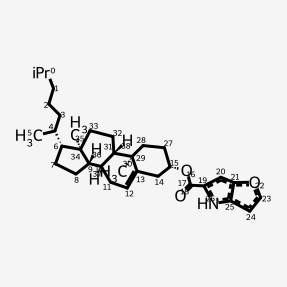 CC(C)CCCC(C)[C@H]1CC[C@H]2[C@@H]3CC=C4C[C@@H](OC(=O)c5cc6occc6[nH]5)CC[C@]4(C)[C@H]3CC[C@]12C